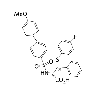 COc1ccc(-c2ccc(S(=O)(=O)N[C@@H](C(=O)O)[C@H](Sc3ccc(F)cc3)c3ccccc3)cc2)cc1